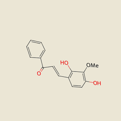 COc1c(O)ccc(C=CC(=O)c2ccccc2)c1O